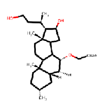 CC[C@H]1[C@@H](OCOC)C2C3C[C@H](O)[C@H]([C@H](C)CCO)[C@@]3(C)CCC2[C@@]2(C)CC[C@@H](C)C[C@@H]12